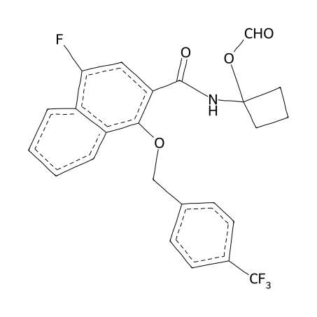 O=COC1(NC(=O)c2cc(F)c3ccccc3c2OCc2ccc(C(F)(F)F)cc2)CCC1